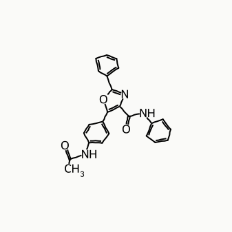 CC(=O)Nc1ccc(-c2oc(-c3ccccc3)nc2C(=O)Nc2ccccc2)cc1